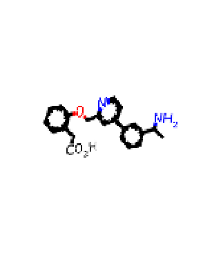 CC(N)c1cccc(-c2ccnc(COc3ccccc3CC(=O)O)c2)c1